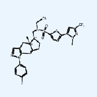 Cn1nc(C(F)(F)F)cc1-c1ccc(S(=O)(=O)N(CC#N)C[C@H]2CCC3=Cc4c(cnn4-c4ccc(F)cc4)C[C@@]32C)s1